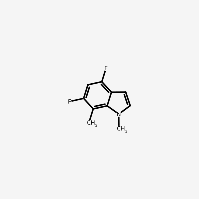 Cc1c(F)cc(F)c2ccn(C)c12